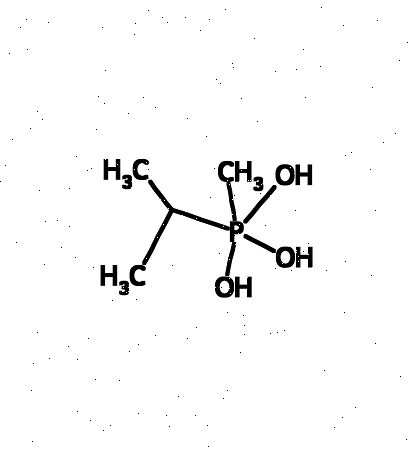 CC(C)P(C)(O)(O)O